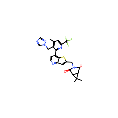 Cc1cc(C(F)(F)F)nc(-c2ccnc3cc(CN4C(=O)C5C(C4=O)C5(C)C)sc23)c1Cn1cncn1